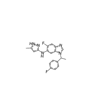 Cc1cc(Nc2cc3c(cc2F)ncn3C(C)c2ccc(F)cc2)n[nH]1